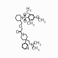 COc1cc(C)c(S(=O)(=O)N2CCCCC2COCC(=O)N2CCC(CCN(C)C)(c3cccnc3)CC2)c(C)c1